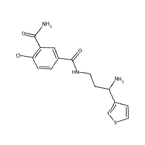 NC(=O)c1cc(C(=O)NCCC(N)c2ccsc2)ccc1Cl